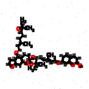 C/C(=C\COc1c2c(cc3occc13)O[C@]1(CC2)O[C@H](CC/C(C)=C/COc2ccc3ccc(=O)oc3c2)C(C)(C)O1)CCC1OC1(C)C